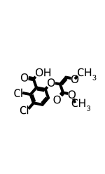 COC=C(Oc1ccc(Cl)c(Cl)c1C(=O)O)C(=O)OC